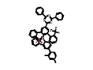 Cc1ccc(-c2ccc3c(c2)c2ccccc2n3-c2c(-c3ccccc3C(F)(F)F)cc(-c3nc(-c4ccccc4)nc(-c4ccccc4)n3)cc2-c2ccccc2C(F)(F)F)c(C)c1